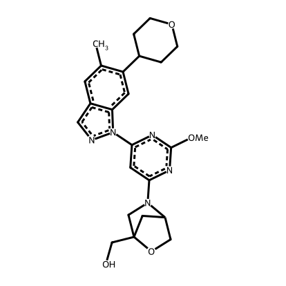 COc1nc(N2CC3(CO)CC2CO3)cc(-n2ncc3cc(C)c(C4CCOCC4)cc32)n1